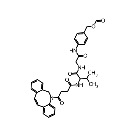 CC(C)C(NC(=O)CCC(=O)N1Cc2ccccc2/C=C\c2ccccc21)C(=O)NCC(=O)Nc1ccc(COC=O)cc1